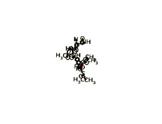 CC(=O)N1CC[C@H]2CC[C@@H](C(=O)N3C[C@@H](C#N)[C@H](c4cc[nH]c(=O)c4)C3)N2C(=O)C(NC(=O)c2ccc3ccc(C(F)(F)P(=O)(OCCSC(=O)CC(C)C)OCOC(=O)OC(C)C)cc3c2)C1